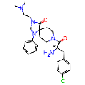 CN(C)CCN1CN(c2ccccc2)C2(CCN(C(=O)[C@H](N)Cc3ccc(Cl)cc3)CC2)C1=O